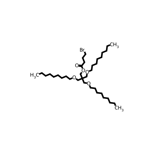 CCCCCCCCCOCC(COCCCCCCCCC)(COCCCCCCCCC)COC(=O)CCCBr